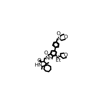 CCN(c1cc(-c2ccc(CN3CCOCC3=O)cc2)cc(C(=O)NCC2C(=O)NC(C)C3(CCCCCC3)C2C)c1C)C1CCOCC1